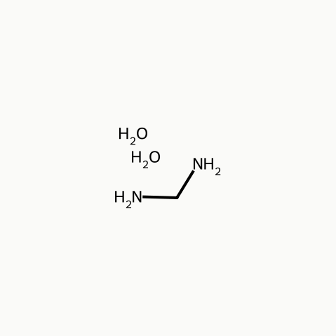 NCN.O.O